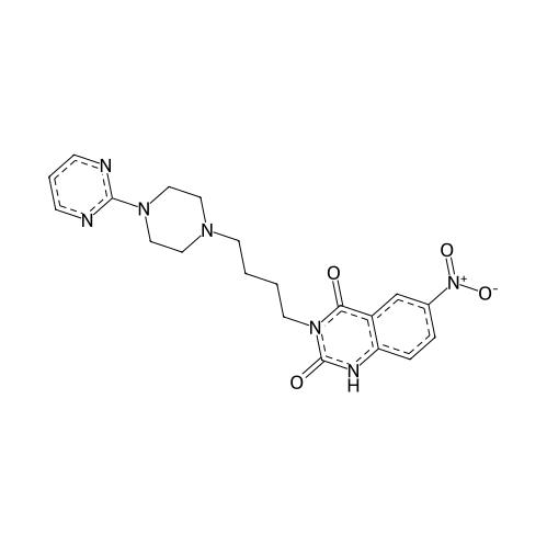 O=c1[nH]c2ccc([N+](=O)[O-])cc2c(=O)n1CCCCN1CCN(c2ncccn2)CC1